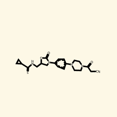 N#CCC(=O)N1CCN(c2ccc(N3CC(CNC(=S)C4CC4)OC3=O)cc2)CC1